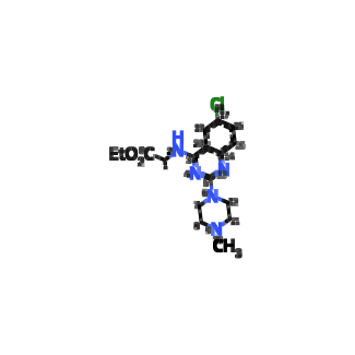 CCOC(=O)CNc1nc(N2CCN(C)CC2)nc2ccc(Cl)cc12